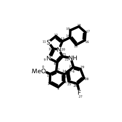 COc1cccc(F)c1-c1nc2scc(C3=CC=CCC3)n2c1Nc1ccc(F)cc1